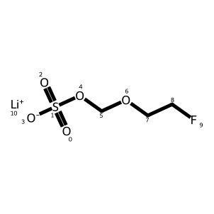 O=S(=O)([O-])OCOCCF.[Li+]